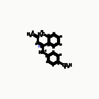 C=C/N=C(/Nc1ccc(C(=O)O)cc1)c1ccccc1C